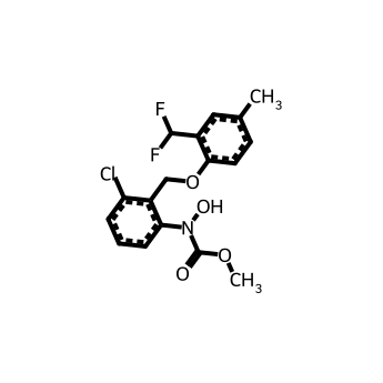 COC(=O)N(O)c1cccc(Cl)c1COc1ccc(C)cc1C(F)F